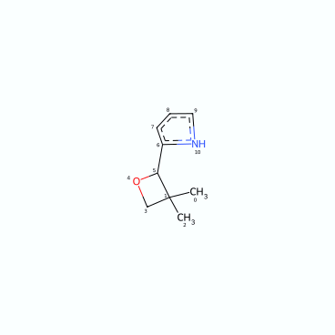 CC1(C)COC1c1ccc[nH]1